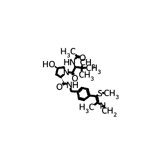 C=N/C(C)=C(\SC)c1ccc(CNC(=O)[C@@H]2C[C@@H](O)CN2C(=O)[C@@H](NC(C)=O)C(C)(C)C)cc1